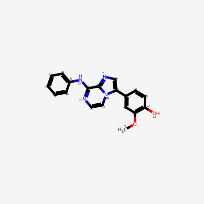 COc1cc(-c2cnc3c(Nc4ccccc4)nccn23)ccc1O